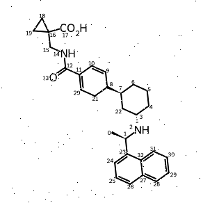 C[C@@H](N[C@H]1CCC[C@H](C2C=CC(C(=O)NCC3(C(=O)O)CC3)=CC2)C1)c1cccc2ccccc12